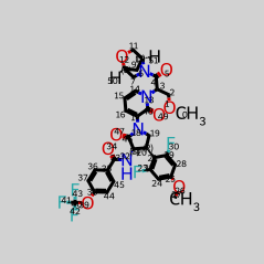 COCC(C(=O)N1C[C@@H]2C[C@H]1CO2)n1cccc(N2C[C@@H](c3c(F)cc(OC)cc3F)[C@H](NC(=O)c3ccc(OC(F)(F)F)cc3)C2=O)c1=O